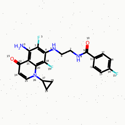 Nc1c(F)c(NCCNC(=O)c2ccc(F)cc2)c(F)c2c1c(=O)ccn2C1CC1